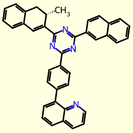 C[C@H]1Cc2ccccc2C=C1c1nc(-c2ccc(-c3cccc4cccnc34)cc2)nc(-c2ccc3ccccc3c2)n1